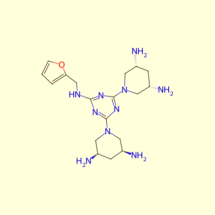 N[C@@H]1C[C@H](N)CN(c2nc(NCc3ccco3)nc(N3C[C@H](N)C[C@H](N)C3)n2)C1